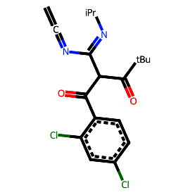 C=C=N/C(=N\C(C)C)C(C(=O)c1ccc(Cl)cc1Cl)C(=O)C(C)(C)C